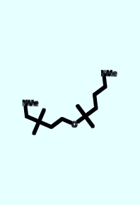 CNCCCC(C)(C)OCCC(C)(C)CNC